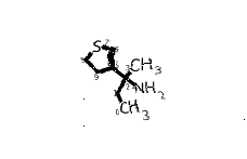 CCC(C)(N)C1=CSCC1